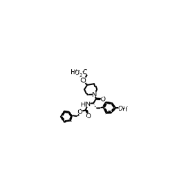 O=C(O)COC1CCN(C(=O)[C@H](Cc2ccc(O)cc2)NC(=O)OCc2ccccc2)CC1